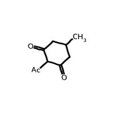 CC(=O)C1C(=O)CC(C)CC1=O